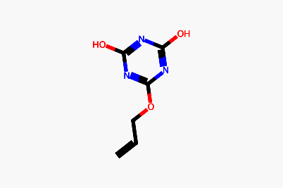 C=CCOc1nc(O)nc(O)n1